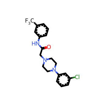 O=C(CN1CCN(c2cccc(Cl)c2)CC1)Nc1cccc(C(F)(F)F)c1